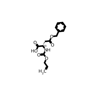 C=CCOC(=O)N[C@@H](CC(=O)OCc1ccccc1)C(=O)O